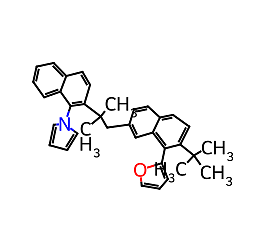 CC(C)(C)c1ccc2ccc(CC(C)(C)c3ccc4ccccc4c3-n3cccc3)cc2c1-c1ccco1